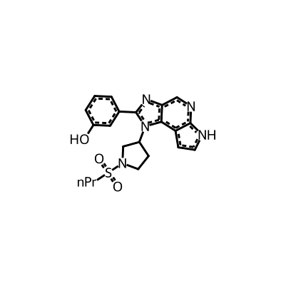 CCCS(=O)(=O)N1CCC(n2c(-c3cccc(O)c3)nc3cnc4[nH]ccc4c32)C1